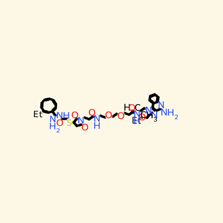 CCOCc1nc2c(N)nc3ccccc3c2n1CC(C)(C)NC(=O)CCOCCOCCNC(=O)CCN1C(=O)CC(SCC(=O)NC(N)c2cccccccc(CC)c2)C1=O